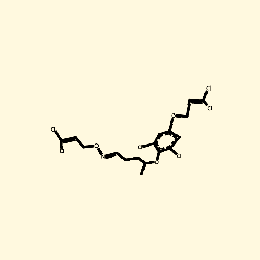 CC(CCC=NOCC=C(Cl)Cl)Oc1c(Cl)cc(OCC=C(Cl)Cl)cc1Cl